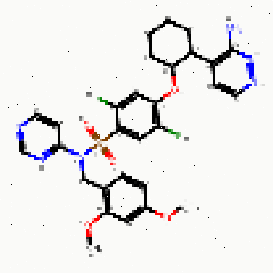 COc1ccc(CN(c2ccncn2)S(=O)(=O)c2cc(F)c(OC3CCCCC3c3ccnnc3N)cc2F)c(OC)c1